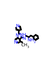 CCc1cncc2nc(-c3ccncc3)nc(NCC(N)Cc3ccccc3)c12